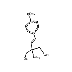 CCCCCCCCc1ccc(/C=C/C(CO)(CO)[N+](=O)[O-])cc1